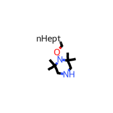 CCCCCCCCON1C(C)(C)CNCC1(C)C